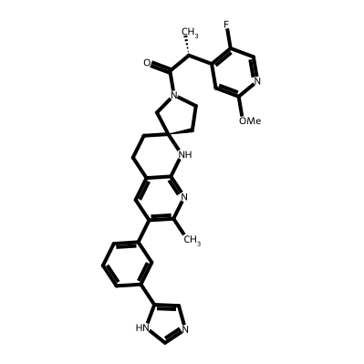 COc1cc([C@@H](C)C(=O)N2CC[C@@]3(CCc4cc(-c5cccc(-c6cnc[nH]6)c5)c(C)nc4N3)C2)c(F)cn1